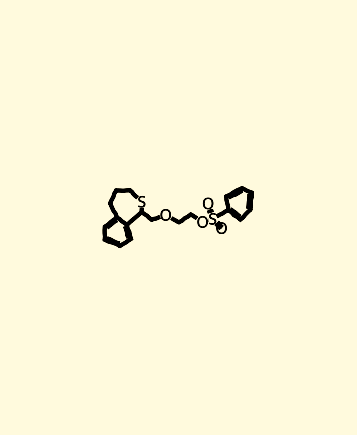 O=S(=O)(OCCOCC1SCCCc2ccccc21)c1ccccc1